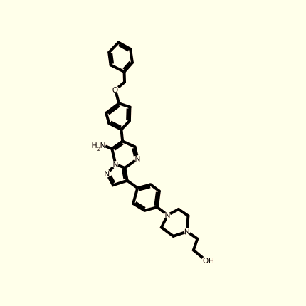 Nc1c(-c2ccc(OCc3ccccc3)cc2)cnc2c(-c3ccc(N4CCN(CCO)CC4)cc3)cnn12